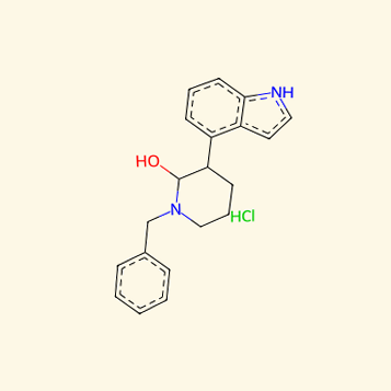 Cl.OC1C(c2cccc3[nH]ccc23)CCCN1Cc1ccccc1